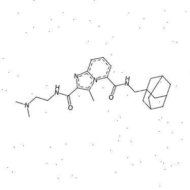 Cc1c(C(=O)NCCN(C)C)nc2cccc(C(=O)NCC34CC5CC(CC(C5)C3)C4)n12